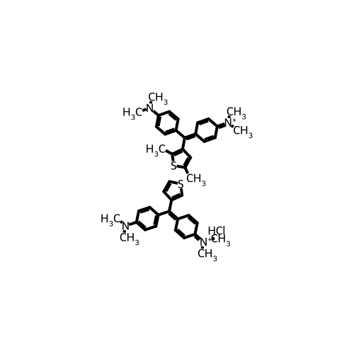 CN(C)c1ccc(C(=C2C=CC(=[N+](C)C)C=C2)c2ccsc2)cc1.Cc1cc(C(=C2C=CC(=[N+](C)C)C=C2)c2ccc(N(C)C)cc2)c(C)s1.Cl